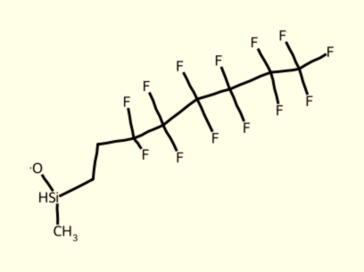 C[SiH]([O])CCC(F)(F)C(F)(F)C(F)(F)C(F)(F)C(F)(F)C(F)(F)F